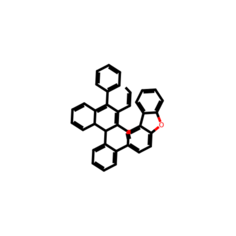 C=CC1=C(/C=C\C)C(c2ccccc2)=C2C=CC=CC2C1c1ccccc1-c1ccc2oc3ccccc3c2c1